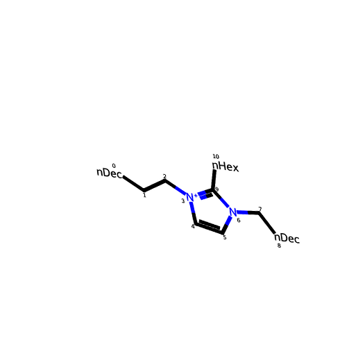 CCCCCCCCCCCC[n+]1ccn(CCCCCCCCCCC)c1CCCCCC